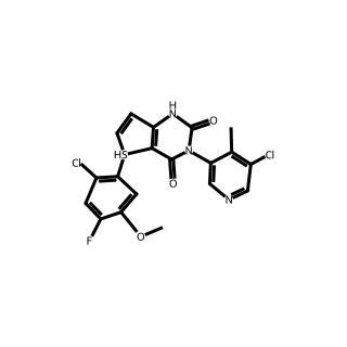 COc1cc([SH]2C=Cc3[nH]c(=O)n(-c4cncc(Cl)c4C)c(=O)c32)c(Cl)cc1F